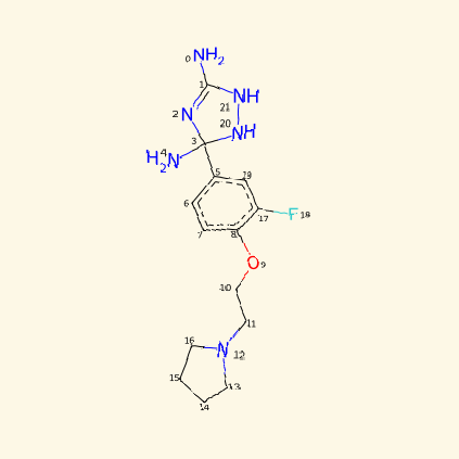 NC1=NC(N)(c2ccc(OCCN3CCCC3)c(F)c2)NN1